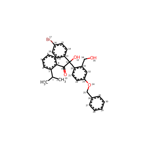 CC(C)c1ccccc1C(=O)C(O)(c1ccc(Br)cc1)c1ccc(OCc2ccccc2)cc1CO